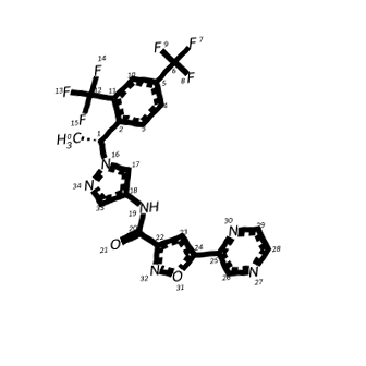 C[C@H](c1ccc(C(F)(F)F)cc1C(F)(F)F)n1cc(NC(=O)c2cc(-c3cnccn3)on2)cn1